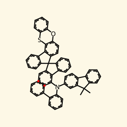 CC1(C)c2ccccc2-c2ccc(N(c3ccccc3-c3ccccc3)c3cccc4c3-c3ccccc3C43c4ccccc4-c4c3ccc3c4Sc4ccccc4O3)cc21